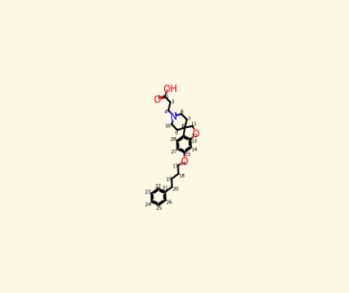 O=C(O)CCN1CCC2(CC1)COc1cc(OCCCCc3ccccc3)ccc12